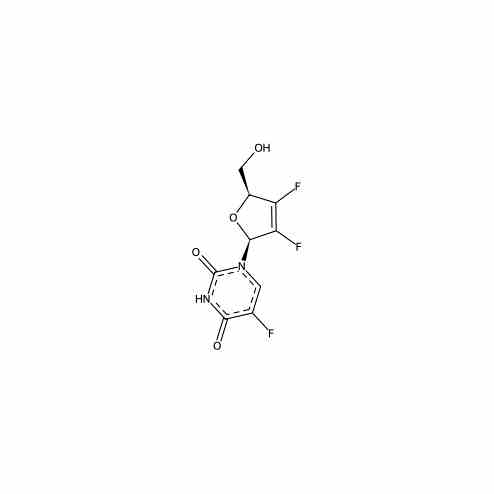 O=c1[nH]c(=O)n([C@H]2O[C@@H](CO)C(F)=C2F)cc1F